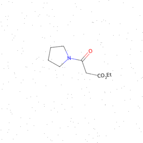 CCOC(=O)CC(=O)N1CCCC1